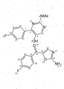 CNc1ncc(O)c(-c2ccc(F)cc2)n1.Nc1ncc(C(=O)c2ccc(F)cc2)o1